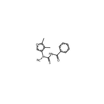 Cc1occ(N(C#N)C(=S)NC(=O)c2ccccc2)c1C